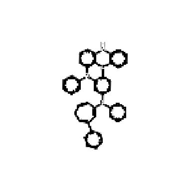 C1=CC(N(c2ccccc2)c2ccc3c(c2)N(c2ccccc2)c2cccc4c2B3c2ccccc2N4)=CC(c2ccccc2)=CC1